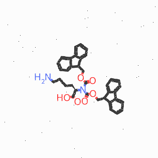 NCCCC[C@H](C(=O)O)N(C(=O)OCC1c2ccccc2-c2ccccc21)C(=O)OCC1c2ccccc2-c2ccccc21